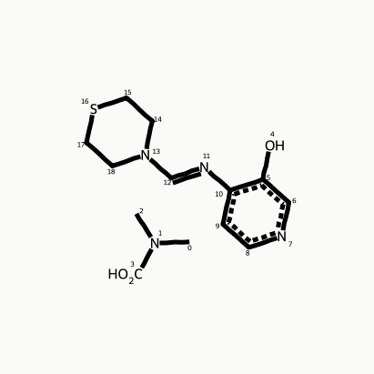 CN(C)C(=O)O.Oc1cnccc1/N=C/N1CCSCC1